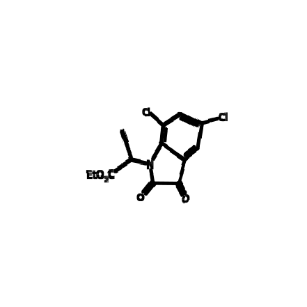 CCOC(=O)C(C)N1C(=O)C(=O)c2cc(Cl)cc(Cl)c21